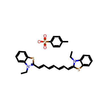 CCN1C(=CC=CC=CC=Cc2sc3ccccc3[n+]2CC)Sc2ccccc21.Cc1ccc(S(=O)(=O)[O-])cc1